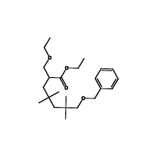 CCOCC(CC(C)(C)CC(C)(C)COCc1ccccc1)C(=O)OCC